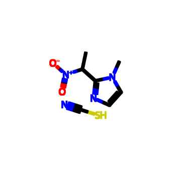 CC(c1nccn1C)[N+](=O)[O-].N#CS